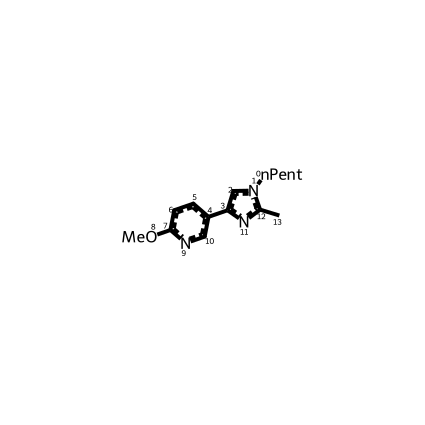 CCCCCn1cc(-c2ccc(OC)nc2)nc1C